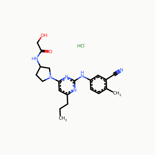 CCCc1cc(N2CCC(NC(=O)CO)C2)nc(Nc2ccc(C)c(C#N)c2)n1.Cl